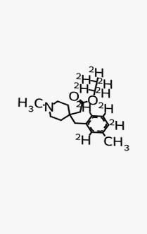 [2H]c1c([2H])c(C)c([2H])c(CC2(CC(=O)OC([2H])([2H])C([2H])([2H])[2H])CCN(C)CC2)c1[2H]